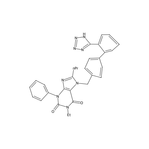 CCCc1nc2c(c(=O)n(CC)c(=O)n2-c2ccccc2)n1Cc1ccc(-c2ccccc2-c2nnn[nH]2)cc1